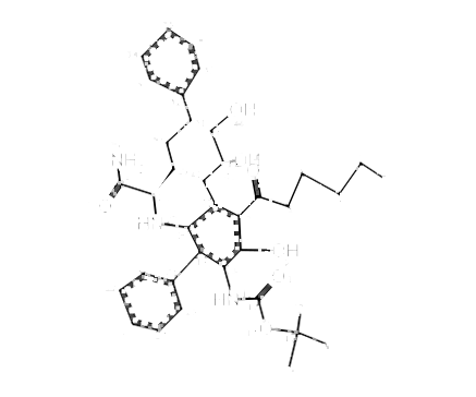 CCCCCC(=O)c1c(O)c(NC(=O)OC(C)(C)C)c(-c2ccccc2)c(N[C@H](CCCc2ccccc2)C(N)=O)c1C[C@@H](O)CO